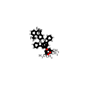 Cc1cc(C)cc(-c2ccc3c(c2)c2ccccc2n3-c2cc(C#N)c(-c3c(C(F)(F)F)cccc3C(F)(F)F)cc2-n2c3ccccc3c3cc(-c4cc(C)cc(C)c4)ccc32)c1